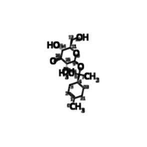 CC1=CC[C@@H](C(C)(C)O[C@@H]2O[C@H](CO)[C@@H](O)C(=O)[C@H]2O)CC1